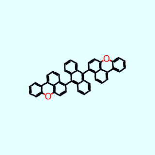 c1ccc2c(c1)Oc1ccc(-c3c4ccccc4c(-c4ccc5c6c(cccc46)-c4ccccc4O5)c4ccccc34)c3cccc-2c13